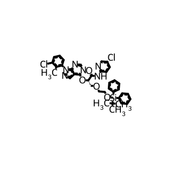 Cc1c(Cl)cccc1-n1ncc2c(O[C@@H](COCCO[Si](c3ccccc3)(c3ccccc3)C(C)(C)C)C(=O)Nc3ccc(Cl)cn3)ncnc21